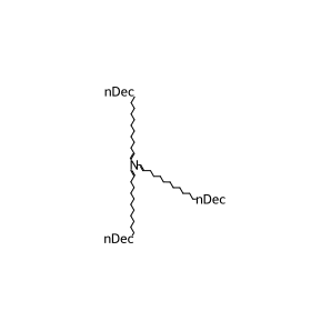 CCCCCCCCCCCCCCCCCCCC/C=C/N(/C=C/CCCCCCCCCCCCCCCCCCCC)/C=C/CCCCCCCCCCCCCCCCCCCC